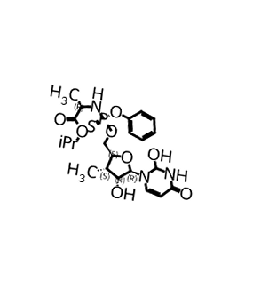 CC(C)OC(=O)[C@@H](C)NP(=S)(OC[C@H]1O[C@@H](N2C=CC(=O)NC2O)[C@H](O)[C@@H]1C)Oc1ccccc1